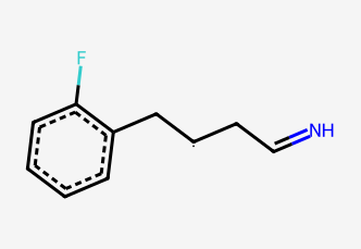 N=CC[CH]Cc1ccccc1F